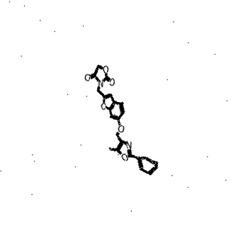 Cc1oc(-c2ccccc2)nc1COc1ccc2cc(CN3C(=O)COC3=O)oc2c1